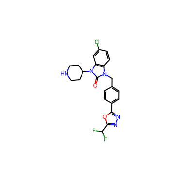 O=c1n(Cc2ccc(-c3nnc(C(F)F)o3)cc2)c2ccc(Cl)cc2n1C1CCNCC1